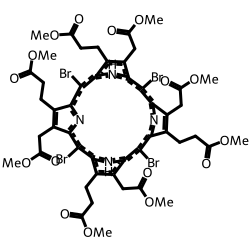 COC(=O)CCC1=C(CC(=O)OC)c2nc1c(Br)c1[nH]c(c(Br)c3nc(c(Br)c4[nH]c(c2Br)c(CCC(=O)OC)c4CC(=O)OC)C(CCC(=O)OC)=C3CC(=O)OC)c(CC(=O)OC)c1CCC(=O)OC